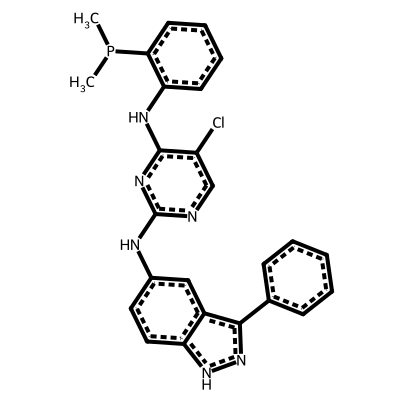 CP(C)c1ccccc1Nc1nc(Nc2ccc3[nH]nc(-c4ccccc4)c3c2)ncc1Cl